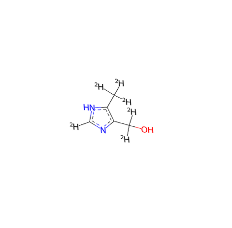 [2H]c1nc(C([2H])([2H])O)c(C([2H])([2H])[2H])[nH]1